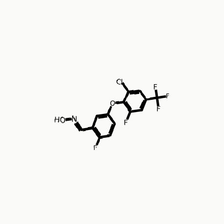 ON=Cc1cc(Oc2c(F)cc(C(F)(F)F)cc2Cl)ccc1F